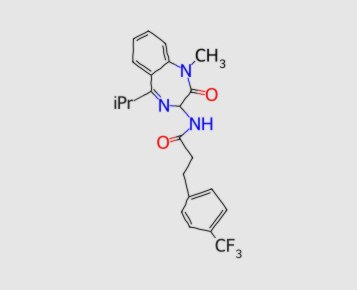 CC(C)C1=NC(NC(=O)CCc2ccc(C(F)(F)F)cc2)C(=O)N(C)c2ccccc21